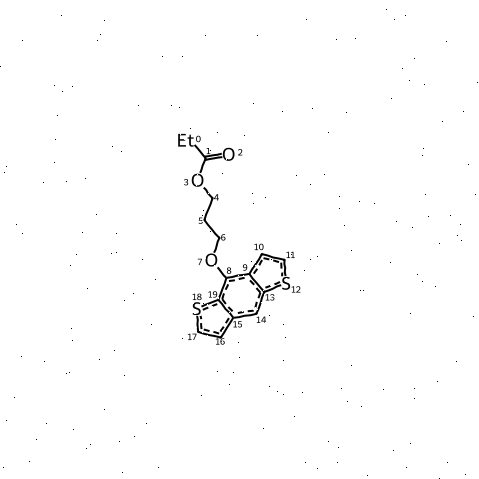 CCC(=O)OCCCOc1c2ccsc2cc2ccsc12